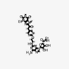 CCNC(=O)[C@H]1O[C@@H](n2cnc3c(N)nc(NCCOc4ncc(CC(=O)c5nc6c(c(=O)n(C)c(=O)n6CC)n5C)cn4)nc32)[C@H](O)[C@@H]1O